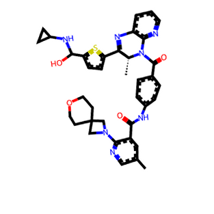 Cc1cnc(N2CC3(CCOCC3)C2)c(C(=O)Nc2ccc(C(=O)N3c4ncccc4N=C(c4ccc(C(O)NC5CC5)s4)[C@H]3C)cc2)c1